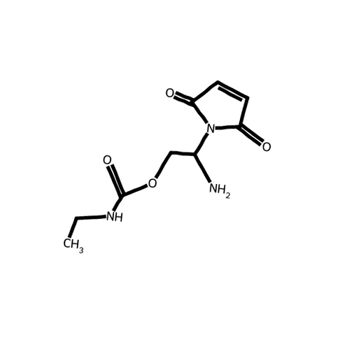 CCNC(=O)OCC(N)N1C(=O)C=CC1=O